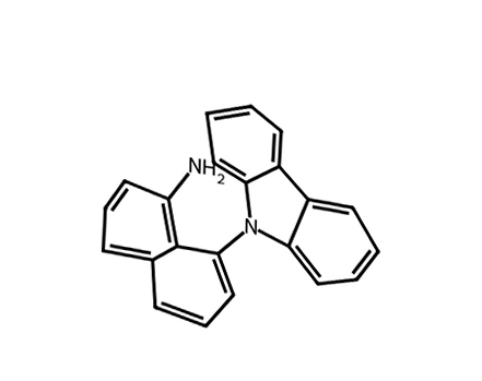 Nc1cccc2cccc(-n3c4ccccc4c4ccccc43)c12